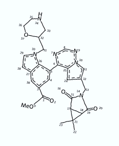 COC(=O)c1cc(-c2ncnn3cc(CN4C(=O)C5C(C4=O)C5(C)C)cc23)c2c(ccn2CC2CNCCO2)c1